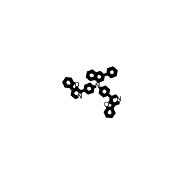 c1ccc(-c2cc(N(c3ccc(-c4cncc5c4oc4ccccc45)cc3)c3ccc(-c4nccc5c4oc4ccccc45)cc3)c3ccccc3c2)cc1